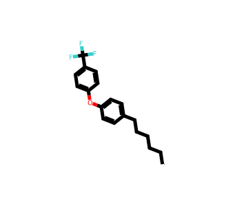 [CH2]CCCCCc1ccc(Oc2ccc(C(F)(F)F)cc2)cc1